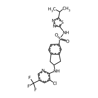 CC(C)c1nnc(NS(=O)(=O)c2ccc3c(c2)CC(Nc2ncc(C(F)(F)F)cc2Cl)C3)s1